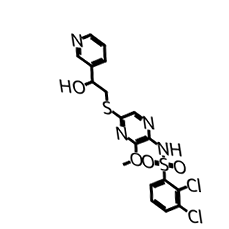 COc1nc(SCC(O)c2cccnc2)cnc1NS(=O)(=O)c1cccc(Cl)c1Cl